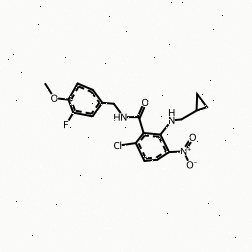 COc1ccc(CNC(=O)c2c(Cl)ccc([N+](=O)[O-])c2NCC2CC2)cc1F